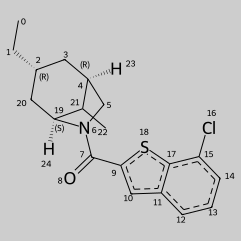 CC[C@@H]1C[C@H]2CN(C(=O)c3cc4cccc(Cl)c4s3)[C@@H](C1)C2C